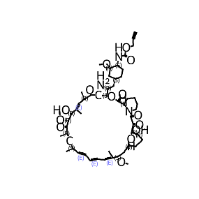 C#CCOC(=O)N[C@H]1CC[C@@H](C[C@@H](N)[C@@H]2CC(=O)[C@H](C)/C=C(\C)[C@@H](O)[C@@H](OC)C(=O)[C@H](C)C[C@H](C)/C=C/C=C/C=C(\C)[C@@H](OC)C[C@@H]3CC[C@@H](C)[C@@](O)(O3)C(=O)C(=O)N3CCCC[C@H]3C(=O)O2)C[C@H]1OC